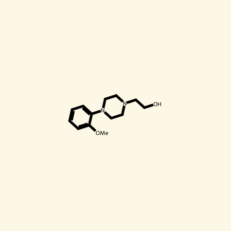 COc1ccccc1N1CCN(CCO)CC1